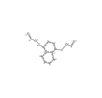 O=COCc1ccc(COC=O)c2nccnc12